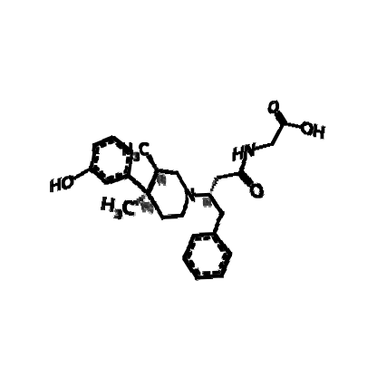 C[C@H]1CN([C@H](CC(=O)NCC(=O)O)Cc2ccccc2)CC[C@@]1(C)c1cccc(O)c1